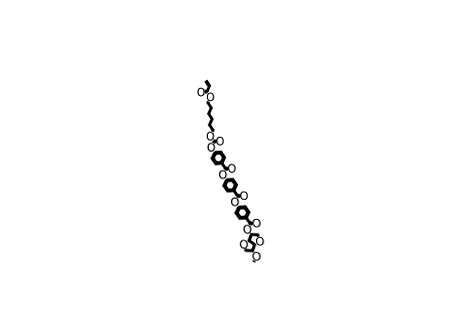 C=CC(=O)OCCCCCCOC(=O)Oc1ccc(C(=O)Oc2ccc(C(=O)Oc3ccc(C(=O)O[C@H]4COC5C4OC[C@H]5OC)cc3)cc2)cc1